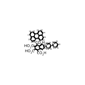 O=C(O)c1c(C(=O)O)c(C(=O)O)c2ccccc2c1C(=O)O.c1cc2cccc3c4cccc5cccc(c(c1)c23)c54.c1cncnc1.c1cncnc1